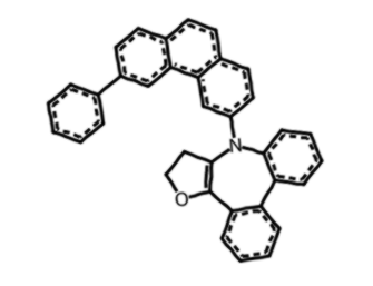 c1ccc(-c2ccc3ccc4ccc(N5C6=C(OCC6)c6ccccc6-c6ccccc65)cc4c3c2)cc1